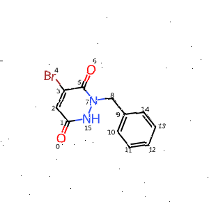 O=c1cc(Br)c(=O)n(Cc2ccccc2)[nH]1